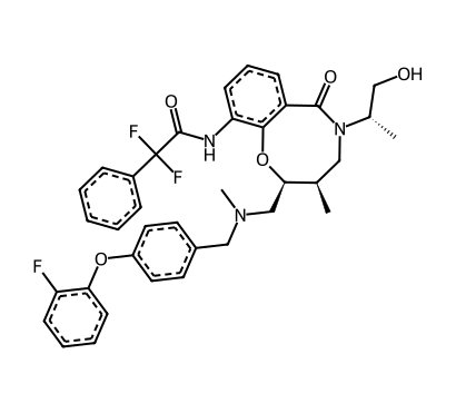 C[C@@H]1CN([C@@H](C)CO)C(=O)c2cccc(NC(=O)C(F)(F)c3ccccc3)c2O[C@@H]1CN(C)Cc1ccc(Oc2ccccc2F)cc1